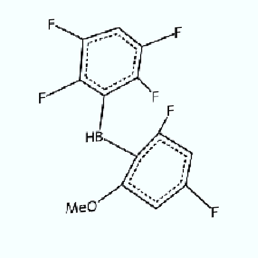 COc1cc(F)cc(F)c1Bc1c(F)c(F)cc(F)c1F